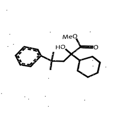 COC(=O)C(O)(CC(C)(C)c1ccccc1)C1CCCCC1